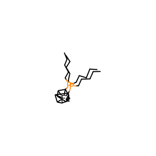 CCCCCP(CCCCC)[C]12[CH]3[CH]4[CH]5[CH]1[Fe]45321678[CH]2[CH]1[CH]6[C]7(P(CCCCC)CCCCC)[CH]28